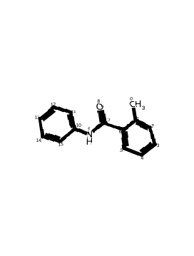 Cc1ccccc1C(=O)Nc1cc[c]cc1